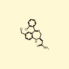 NC(=O)C=C1CN=C(c2ccccc2Cl)c2cc(CCl)ccc2N1